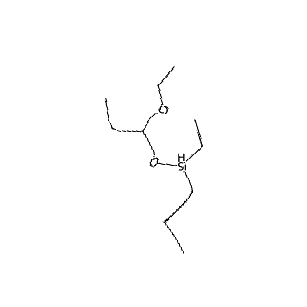 CCC[SiH](CC)OC(CC)OCC